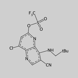 CC(C)(C)CNc1c(C#N)cnc2c(Cl)cc(OS(=O)(=O)C(F)(F)F)nc12